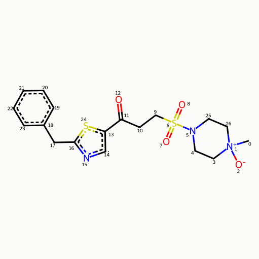 C[N+]1([O-])CCN(S(=O)(=O)CCC(=O)c2[c]nc(Cc3ccccc3)s2)CC1